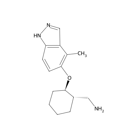 Cc1c(O[C@@H]2CCCC[C@H]2CN)ccc2[nH]ncc12